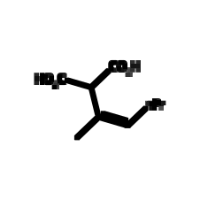 CCCC=C(C)C(C(=O)O)C(=O)O